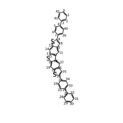 c1ccc(-c2ccc(-c3cc4cc5c(cc4s3)sc3cc4sc(-c6ccc(-c7ccccc7)cc6)cc4cc35)cc2)cc1